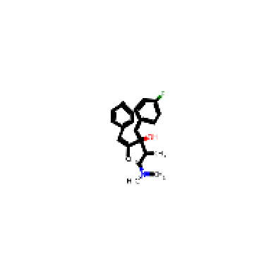 C/C(=C/c1ccccc1)C(O)(Cc1ccc(F)cc1)C(C)CN(C)C